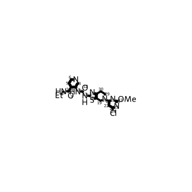 CCNC(=O)c1ccncc1NC(=O)Nc1nc2c(s1)CN(c1cc(Cl)nc(OC)n1)CC2